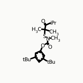 CC(C)C(=O)C(C)(C)SN(C)C(=O)Oc1cc(C(C)(C)C)cc(C(C)(C)C)c1